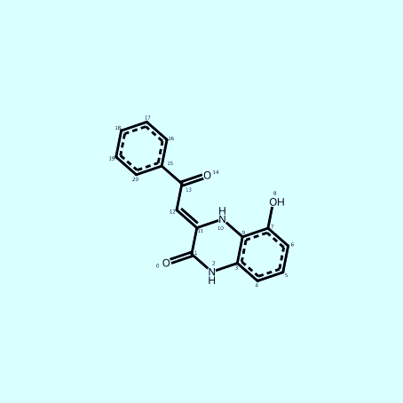 O=C1Nc2cccc(O)c2NC1=CC(=O)c1ccccc1